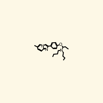 CCCCN(CCCC)C(CC)Oc1ccc(-c2cn3cc(C)ccc3n2)cc1